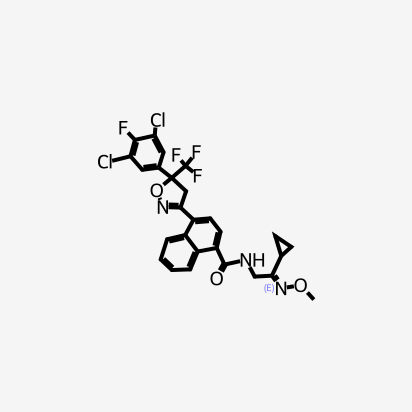 CO/N=C(/CNC(=O)c1ccc(C2=NOC(c3cc(Cl)c(F)c(Cl)c3)(C(F)(F)F)C2)c2ccccc12)C1CC1